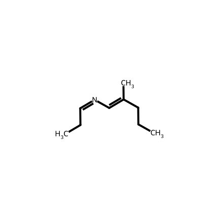 CC/C=N\C=C(/C)CCC